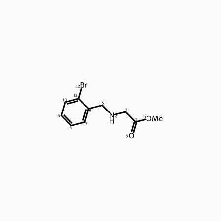 COC(=O)CNCc1ccccc1Br